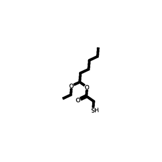 CCCCCC(OCC)OC(=O)CS